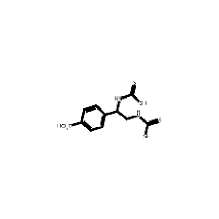 O=C(O)c1ccc(C(CNC(=S)S)NC(=S)S)cc1